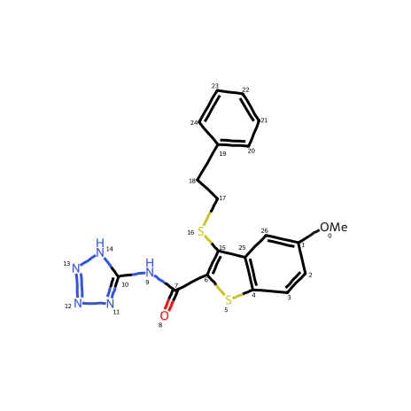 COc1ccc2sc(C(=O)Nc3nnn[nH]3)c(SCCc3ccccc3)c2c1